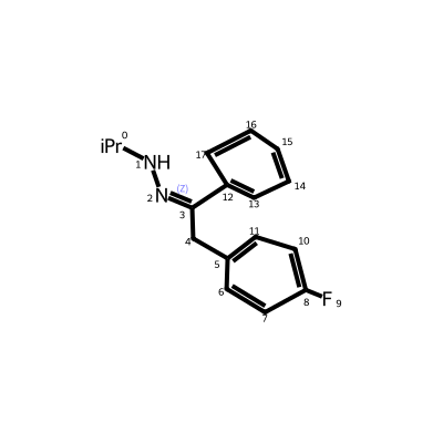 CC(C)N/N=C(/Cc1ccc(F)cc1)c1ccccc1